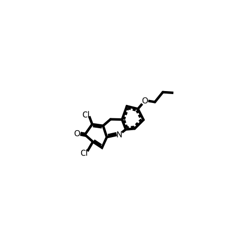 CCCOc1ccc2c(c1)CC1=C(Cl)C(=O)C(Cl)=CC1=N2